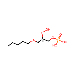 CCCCCOC[C@H](COP(=O)(O)O)OO